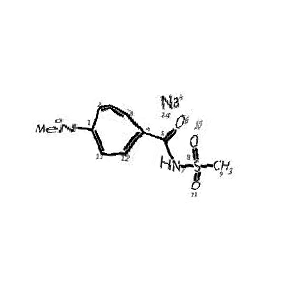 C[N-]c1ccc(C(=O)NS(C)(=O)=O)cc1.[Na+]